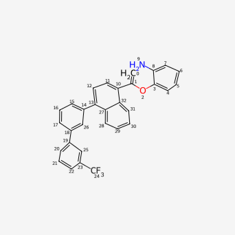 C=C(Oc1ccccc1N)c1ccc(-c2cccc(-c3cccc(C(F)(F)F)c3)c2)c2ccccc12